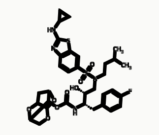 CC(C)CCN(C[C@@H](O)[C@H](Cc1ccc(F)cc1)NC(=O)OC1C2COC3OC1CC3O2)S(=O)(=O)c1ccc2nc(NC3CC3)sc2c1